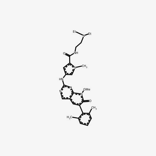 CCN(CC)CCNC(=O)c1cc(Nc2ncc3cc(-c4c(C)cccc4C)c(=O)n(OC)c3n2)cn1C